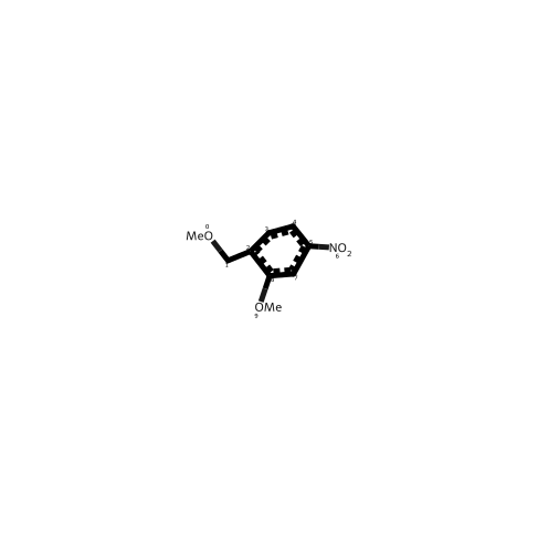 COCc1ccc([N+](=O)[O-])cc1OC